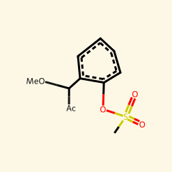 COC(C(C)=O)c1ccccc1OS(C)(=O)=O